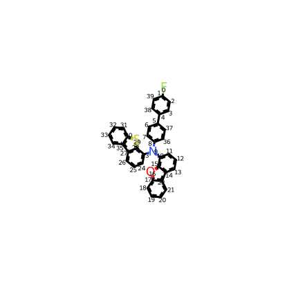 Fc1ccc(-c2ccc(N(c3cccc4c3oc3ccccc34)c3cccc4c3sc3ccccc34)cc2)cc1